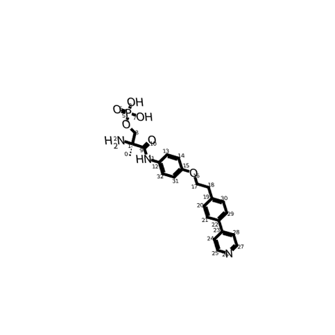 C[C@](N)(COP(=O)(O)O)C(=O)Nc1ccc(OCCc2ccc(-c3ccncc3)cc2)cc1